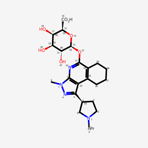 CCCN1CC[C@H](c2nn(C)c3nc(O[C@@H]4O[C@H](C(=O)O)[C@H](O)[C@H](O)[C@H]4O)c4c(c23)CCCC4)C1